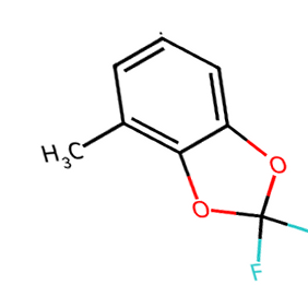 Cc1c[c]cc2c1OC(F)(F)O2